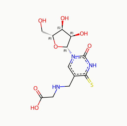 O=C(O)CNCc1cn([C@@H]2O[C@H](CO)[C@@H](O)[C@H]2O)c(=O)[nH]c1=S